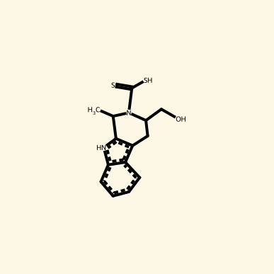 CC1c2[nH]c3ccccc3c2CC(CO)N1C(=S)S